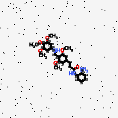 COc1cc(C=CC(=O)Nc2ccccc2N)cc(OC)c1CNc1cc(OC)c(OC)c(OC)c1